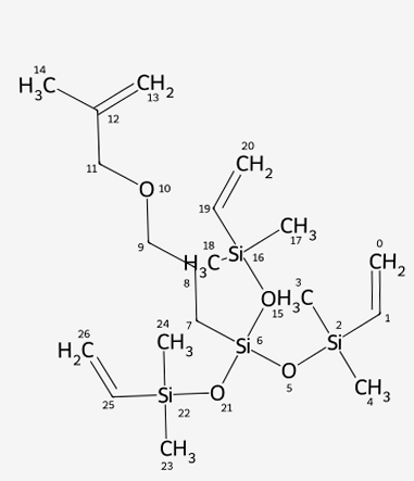 C=C[Si](C)(C)O[Si](CCCOCC(=C)C)(O[Si](C)(C)C=C)O[Si](C)(C)C=C